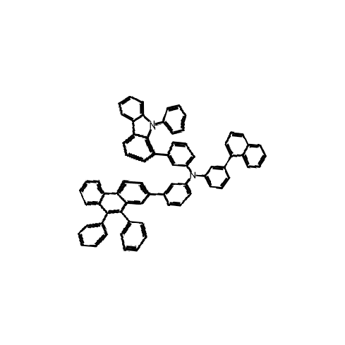 c1ccc(-c2c(-c3ccccc3)c3cc(-c4cccc(N(c5cccc(-c6cccc7ccccc67)c5)c5cccc(-c6cccc7c8ccccc8n(-c8ccccc8)c67)c5)c4)ccc3c3ccccc23)cc1